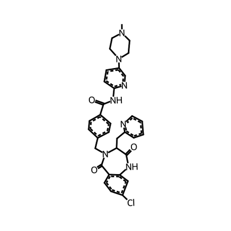 CN1CCN(c2ccc(NC(=O)c3ccc(CN4C(=O)c5ccc(Cl)cc5NC(=O)C4Cc4ccccn4)cc3)nc2)CC1